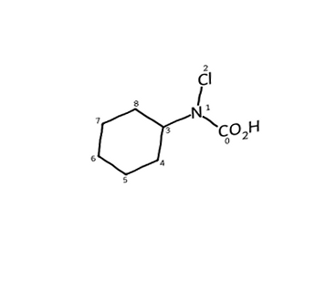 O=C(O)N(Cl)C1CCCCC1